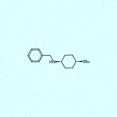 CC(C)(C)[C@H]1CC[C@@H](NCc2ccccc2)CC1